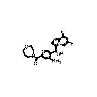 N=C(c1cnc(C(=O)N2CCCOCC2)cc1N)c1cnc2c(F)cc(F)cn12